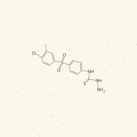 Cc1cc(S(=O)(=O)c2ccc(NC(=S)NN)cc2)ccc1Cl